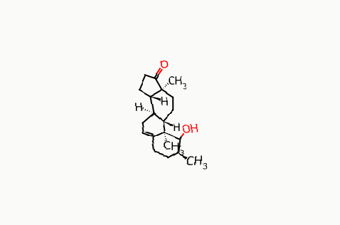 C[C@H]1CCC2=CC[C@H]3[C@@H]4CCC(=O)[C@@]4(C)CC[C@@H]3[C@@]2(C)C1O